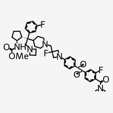 COC(=O)N[C@H]1CCC[C@@H]1C(CN1CCC1)(c1cccc(F)c1)C1CCN(CC2(F)CN(c3ccc(S(=O)(=O)c4ccc(C(=O)N(C)C)c(F)c4)cc3)C2)CC1